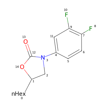 CCCCCCC1CN(c2ccc(F)c(F)c2)C(=O)O1